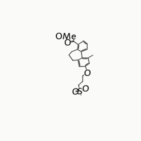 COC(=O)c1cccc2c1CCCc1cc(OCCCS(C)(=O)=O)cc(C)c1-2